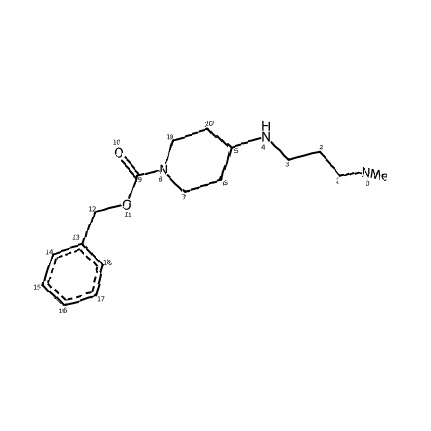 CNCCCNC1CCN(C(=O)OCc2ccccc2)CC1